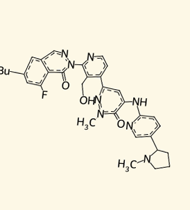 CN1CCCC1c1ccc(Nc2cc(-c3ccnc(-n4ncc5cc(C(C)(C)C)cc(F)c5c4=O)c3CO)nn(C)c2=O)nc1